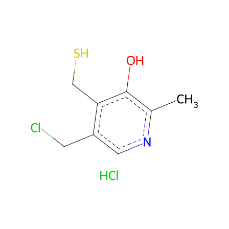 Cc1ncc(CCl)c(CS)c1O.Cl